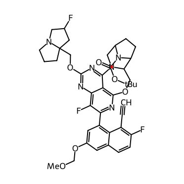 C#Cc1c(F)ccc2cc(OCOC)cc(-c3nc4c5c(nc(OCC67CCCN6CC(F)C7)nc5c3F)N3CC5CCC(C3CO4)N5C(=O)OC(C)(C)C)c12